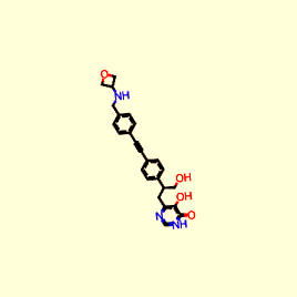 O=c1[nH]cnc(CC(CO)c2ccc(C#Cc3ccc(CNC4COC4)cc3)cc2)c1O